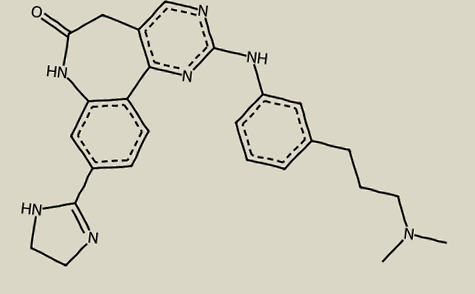 CN(C)CCCc1cccc(Nc2ncc3c(n2)-c2ccc(C4=NCCN4)cc2NC(=O)C3)c1